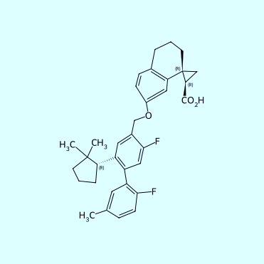 Cc1ccc(F)c(-c2cc(F)c(COc3ccc4c(c3)[C@]3(CCC4)C[C@H]3C(=O)O)cc2[C@@H]2CCCC2(C)C)c1